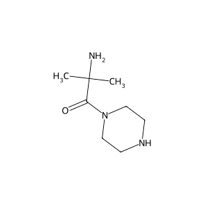 CC(C)(N)C(=O)N1CCNCC1